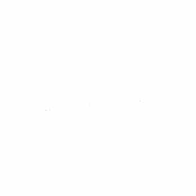 COc1cc2c(cc1Cn1c(=O)n(Cc3cnn(C)c3)c(=O)c3cc(S(=O)(=O)NC4(C)CC4)sc31)COC2